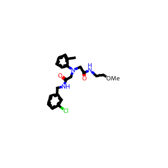 COCCNC(=O)CN(CC(=O)NCc1cccc(Cl)c1)c1ccccc1C